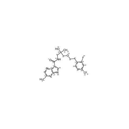 Cc1cnc2c(C(=O)NCC(C)(O)COCCc3ccc(C(F)(F)F)cc3F)cnn2c1